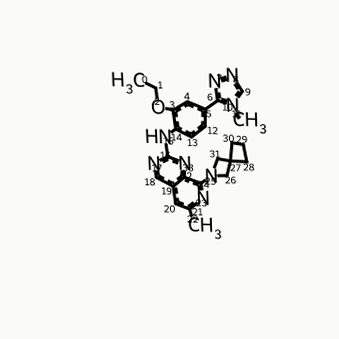 CCOc1cc(-c2nncn2C)ccc1Nc1ncc2cc(C)nc(N3CC4(CCC4)C3)c2n1